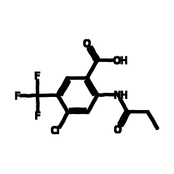 CCC(=O)Nc1cc(Cl)c(C(F)(F)F)cc1C(=O)O